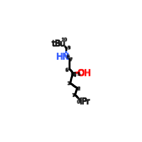 CC(C)CCC[C@H](O)CCNCC(C)(C)C